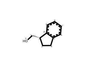 OC[C@H]1CCc2ccccc21